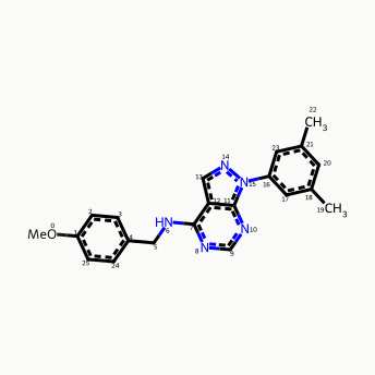 COc1ccc(CNc2ncnc3c2cnn3-c2cc(C)cc(C)c2)cc1